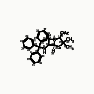 CC(=O)OC1N2C(=O)C(NC(c3ccccc3)(c3ccccc3)c3ccccc3)[C@@H]2SC1(C)C